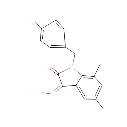 COc1ccc(CN2C(=O)/C(=N\O)c3cc(C)cc(C)c32)cc1